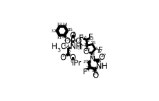 CC(C)OC(=O)[C@H](C)NP(=O)(OC[C@]1(C(F)F)C[C@H](F)[C@H](n2cc(F)c(=O)[nH]c2=O)O1)Oc1ccccc1